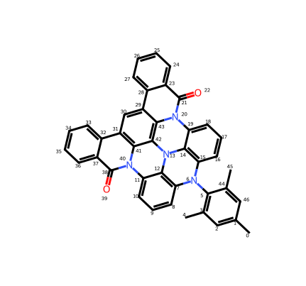 Cc1cc(C)c(-n2c3cccc4c3n3c5c2cccc5n2c(=O)c5ccccc5c5cc6c7ccccc7c(=O)n4c6c3c52)c(C)c1